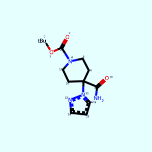 CC(C)(C)OC(=O)N1CCC(C(N)=O)(n2cccn2)CC1